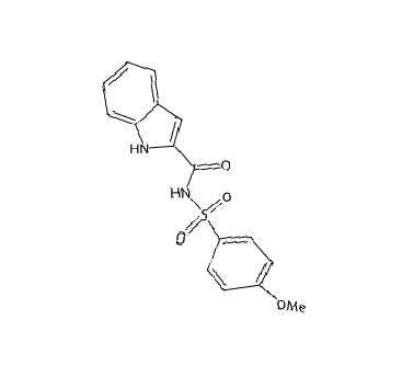 COc1ccc(S(=O)(=O)NC(=O)c2cc3ccccc3[nH]2)cc1